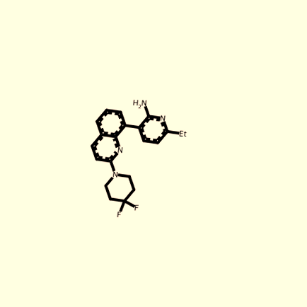 CCc1ccc(-c2cccc3ccc(N4CCC(F)(F)CC4)nc23)c(N)n1